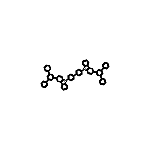 C1=CCCC(c2cc(-c3ccccc3)cc(C3C=Cc4c(c5ccccc5n4-c4ccc(-c5ccc(-n6c7c(c8ccccc86)CC(c6cc(-c8ccccc8)cc(-c8ccccc8)c6)C=C7)cc5)cc4)C3)c2)=C1